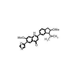 COc1cc2[nH]c(-c3ccc4c(c3)C(N(C)C)C(OC)C4)cc(=O)c2cc1-c1cnco1